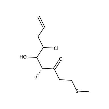 C=CCC(Cl)C(O)[C@@H](C)C(=O)CCSC